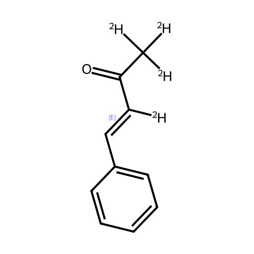 [2H]/C(=C\c1ccccc1)C(=O)C([2H])([2H])[2H]